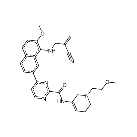 C=C(C#N)CNc1c(OC)ccc2ccc(-c3ccnc(C(=O)NC4=CCCN(CCOC)C4)n3)cc12